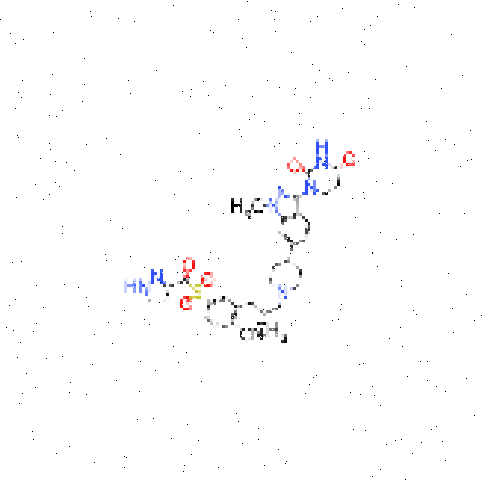 CC(Cc1cc(S(=O)(=O)C(=O)c2cc[nH]n2)ccc1C#N)CN1CCC(c2ccc3c(N4CCC(=O)NC4=O)nn(C)c3c2)CC1